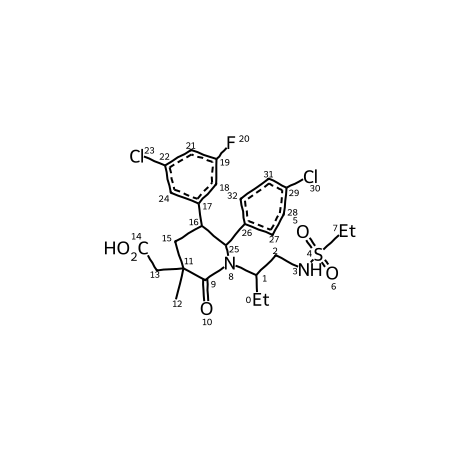 CCC(CNS(=O)(=O)CC)N1C(=O)C(C)(CC(=O)O)CC(c2cc(F)cc(Cl)c2)C1c1ccc(Cl)cc1